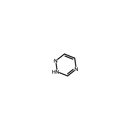 C1=CN=CN[N]1